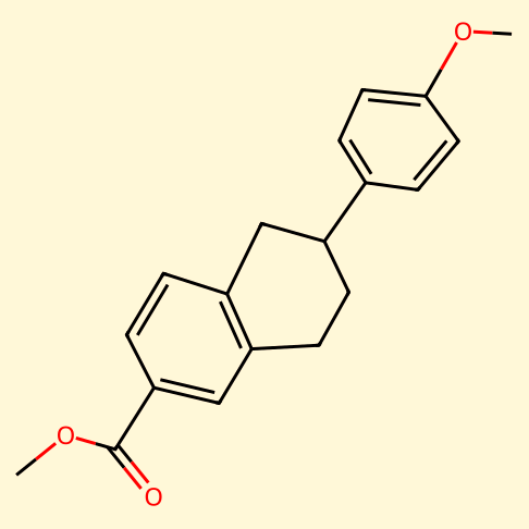 COC(=O)c1ccc2c(c1)CCC(c1ccc(OC)cc1)C2